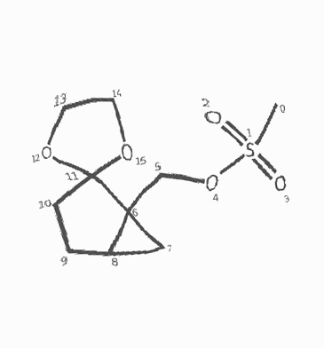 CS(=O)(=O)OCC12CC1CCC21OCCO1